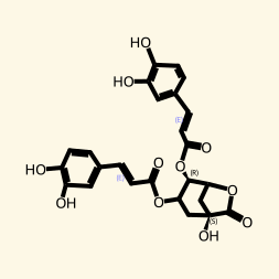 O=C(/C=C/c1ccc(O)c(O)c1)OC1C[C@]2(O)CC(OC2=O)[C@@H]1OC(=O)/C=C/c1ccc(O)c(O)c1